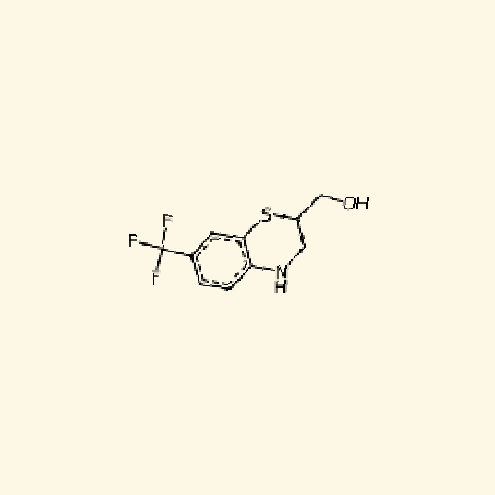 OCC1CNc2ccc(C(F)(F)F)cc2S1